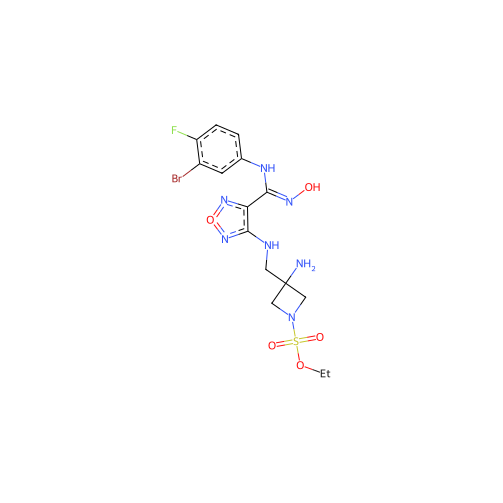 CCOS(=O)(=O)N1CC(N)(CNc2nonc2/C(=N/O)Nc2ccc(F)c(Br)c2)C1